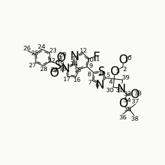 COCOC1(c2ncc(-c3c(F)cnc4c3ccn4S(=O)(=O)c3ccc(C)cc3)s2)CN(C(=O)OC(C)(C)C)C1